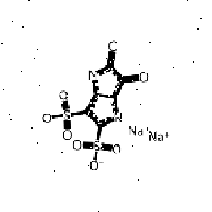 O=c1nc2c(S(=O)(=O)[O-])c(S(=O)(=O)[O-])nc-2c1=O.[Na+].[Na+]